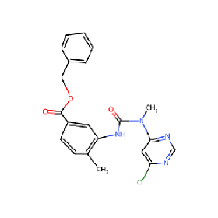 Cc1ccc(C(=O)OCc2ccccc2)cc1NC(=O)N(C)c1cc(Cl)ncn1